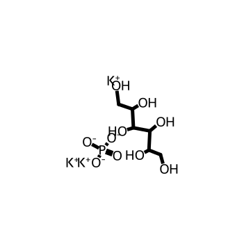 O=P([O-])([O-])[O-].OCC(O)C(O)C(O)C(O)CO.[K+].[K+].[K+]